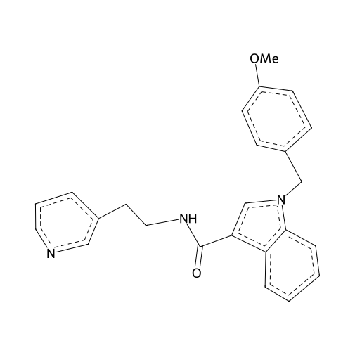 COc1ccc(Cn2cc(C(=O)NCCc3cccnc3)c3ccccc32)cc1